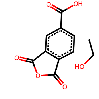 CCO.O=C(O)c1ccc2c(c1)C(=O)OC2=O